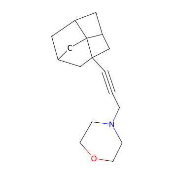 C(#CC12CC3CC4CC(C1)C42C3)CN1CCOCC1